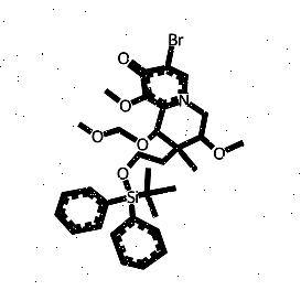 COCOC1c2c(OC)c(=O)c(Br)cn2CC(OC)C1(C)CCO[Si](c1ccccc1)(c1ccccc1)C(C)(C)C